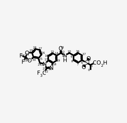 CC(C(=O)O)S(=O)(=O)c1ccc(CNC(=O)c2ccc3c(c2)nc(C(F)(F)F)n3Cc2cccc3c2OC(F)(F)O3)cc1